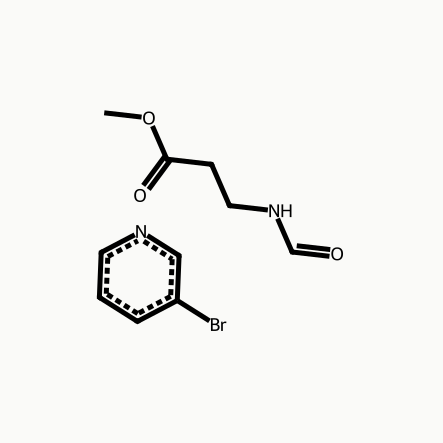 Brc1cccnc1.COC(=O)CCNC=O